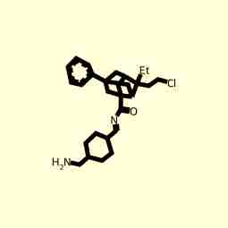 CCC1(CCCl)C2CC3(c4ccccc4)CC1C(C(=O)/N=C/C1CCC(CN)CC1)(C2)C3